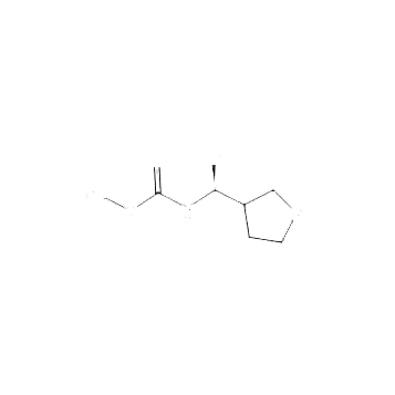 C[C@H](NC(=O)OC(C)(C)C)C1CCNC1